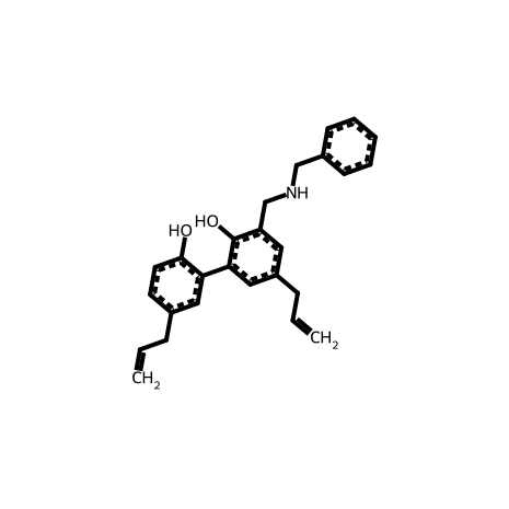 C=CCc1ccc(O)c(-c2cc(CC=C)cc(CNCc3ccccc3)c2O)c1